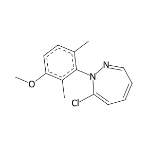 COc1ccc(C)c(N2N=CC=CC=C2Cl)c1C